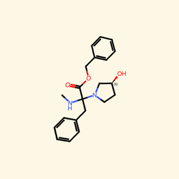 CNC(Cc1ccccc1)(C(=O)OCc1ccccc1)N1CC[C@H](O)C1